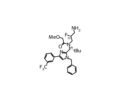 COCC(=O)N(C[C@@H](F)CN)[C@@H](c1nc(-c2cccc(C(F)(F)F)c2)cn1Cc1ccccc1)C(C)(C)C